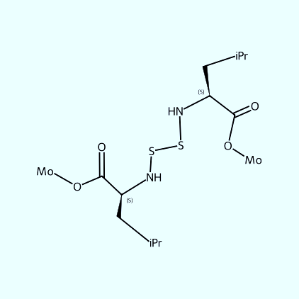 CC(C)C[C@H](NSSN[C@@H](CC(C)C)C(=O)[O][Mo])C(=O)[O][Mo]